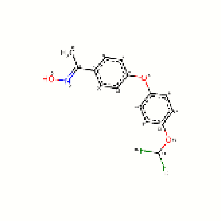 CC(=NO)c1ccc(Oc2ccc(OC(F)F)cc2)cc1